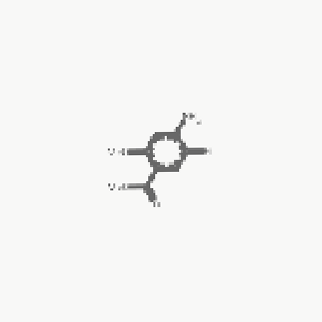 CCc1cc(C(=O)OC)c(OC)cc1N